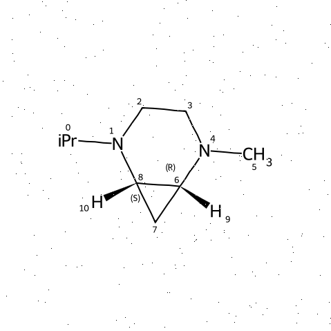 CC(C)N1CCN(C)[C@@H]2C[C@@H]21